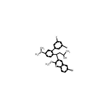 COc1nc2ccc(Br)cc2cc1C(CC(C)O)c1ccc(N(C)C)cc1-c1cc(F)cc(F)c1